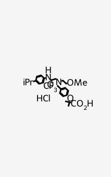 COCCN(CC(=O)Nc1ccc(C(C)C)cc1C(F)(F)F)Cc1ccc(OC(C)(C)C(=O)O)cc1.Cl